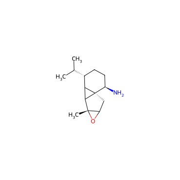 CC(C)[C@@H]1CC[C@@H](N)[C@@]23CC4O[C@]4(C)C2C13